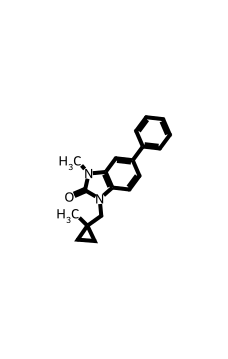 Cn1c(=O)n(CC2(C)CC2)c2ccc(-c3ccccc3)cc21